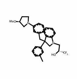 CO[C@H]1CCN(c2cccc(CC3(c4cccc(C)c4)CN(C[C@@H](O)C(F)(F)F)c4ccccc43)c2)C1